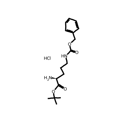 CC(C)(C)OC(=O)[C@@H](N)CCCNC(=O)OCc1ccccc1.Cl